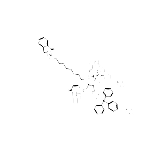 COc1ccc(C(OC[C@H]2O[C@@H](n3ccc(=O)[nH]c3=O)C(OCCCCCCCCON3C(=O)c4ccccc4C3=O)C2OP(OCCC#N)N(C(C)C)C(C)C)(c2ccccc2)c2ccc(OC)cc2)cc1